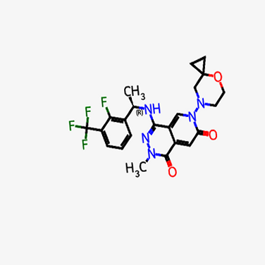 C[C@@H](Nc1nn(C)c(=O)c2cc(=O)n(N3CCOC4(CC4)C3)cc12)c1cccc(C(F)(F)F)c1F